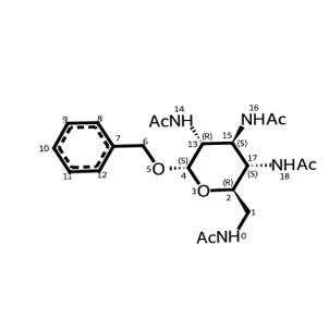 CC(=O)NC[C@H]1O[C@H](OCc2ccccc2)[C@H](NC(C)=O)[C@@H](NC(C)=O)[C@@H]1NC(C)=O